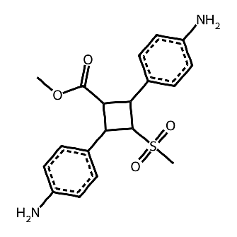 COC(=O)C1C(c2ccc(N)cc2)C(S(C)(=O)=O)C1c1ccc(N)cc1